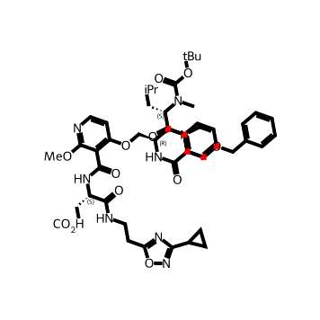 COc1nccc(OC[C@@H](Cc2ccccc2)NC(=O)C(COCc2ccccc2)N(C)C(=O)[C@H](CC(C)C)N(C)C(=O)OC(C)(C)C)c1C(=O)N[C@@H](CC(=O)O)C(=O)NCCc1nc(C2CC2)no1